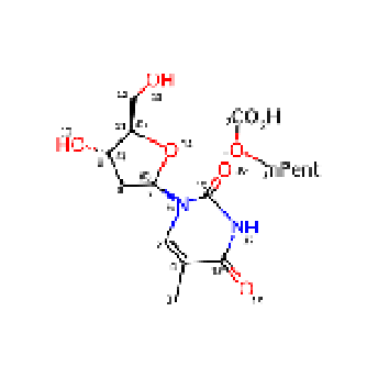 CCCCCOC(=O)O.Cc1cn([C@H]2C[C@H](O)[C@@H](CO)O2)c(=O)[nH]c1=O